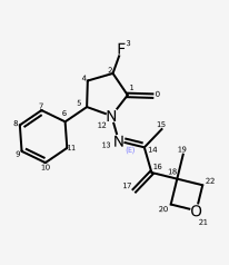 C=C1C(F)CC(C2C=CC=CC2)N1/N=C(\C)C(=C)C1(C)COC1